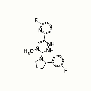 CN1C=C(c2cccc(F)n2)NNC1N1CCC[C@@H]1c1cccc(F)c1